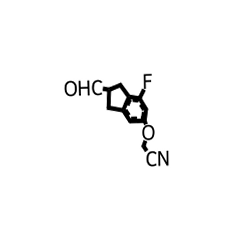 N#CCOc1cc(F)c2c(c1)CC(C=O)C2